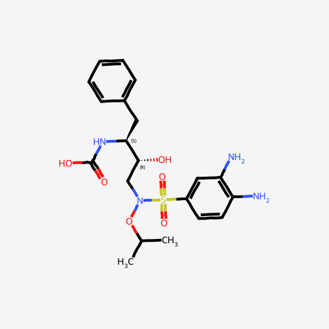 CC(C)ON(C[C@@H](O)[C@H](Cc1ccccc1)NC(=O)O)S(=O)(=O)c1ccc(N)c(N)c1